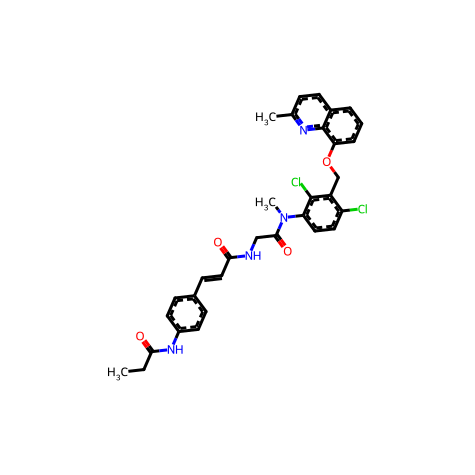 CCC(=O)Nc1ccc(C=CC(=O)NCC(=O)N(C)c2ccc(Cl)c(COc3cccc4ccc(C)nc34)c2Cl)cc1